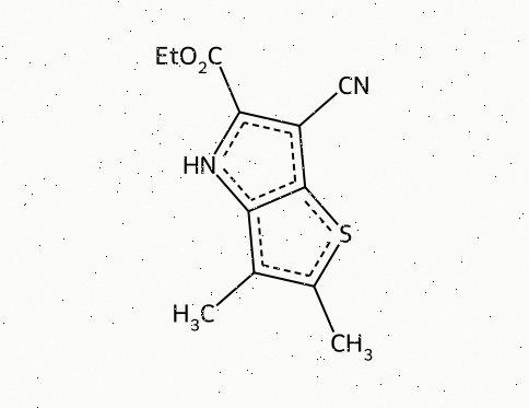 CCOC(=O)c1[nH]c2c(C)c(C)sc2c1C#N